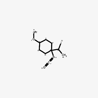 CCCOC1CCC(N=C=O)(C(C)I)CC1